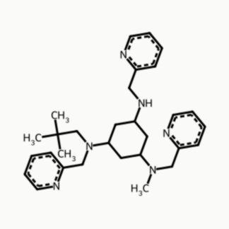 CN(Cc1ccccn1)C1CC(NCc2ccccn2)CC(N(Cc2ccccn2)CC(C)(C)C)C1